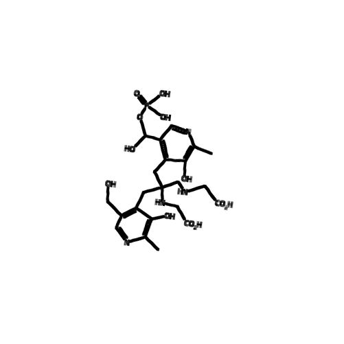 Cc1ncc(CO)c(CC(CNCC(=O)O)(Cc2c(C(O)OP(=O)(O)O)cnc(C)c2O)NCC(=O)O)c1O